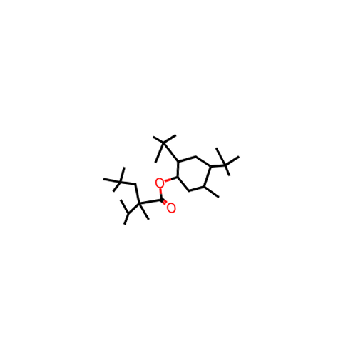 CC1CC(OC(=O)C(C)(CC(C)(C)C)C(C)C)C(C(C)(C)C)CC1C(C)(C)C